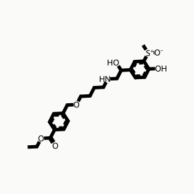 CCOC(=O)c1ccc(COCCCCNCC(O)c2ccc(O)c([S+](C)[O-])c2)cc1